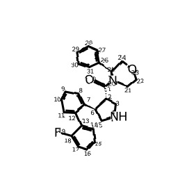 O=C([C@@H]1CNC[C@H]1c1ccccc1-c1ccccc1F)N1CCOC[C@@H]1c1ccccc1